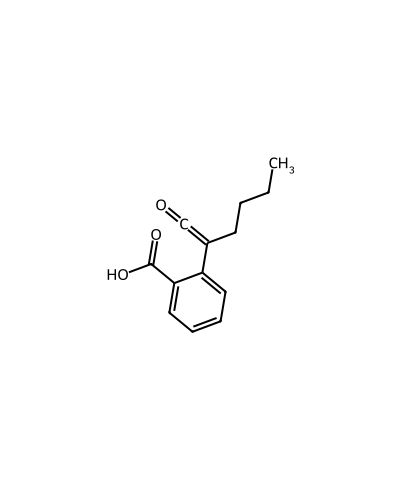 CCCCC(=C=O)c1ccccc1C(=O)O